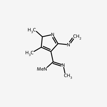 C=NC1=NC(C)C(C)=C1/C(=N/C)NC